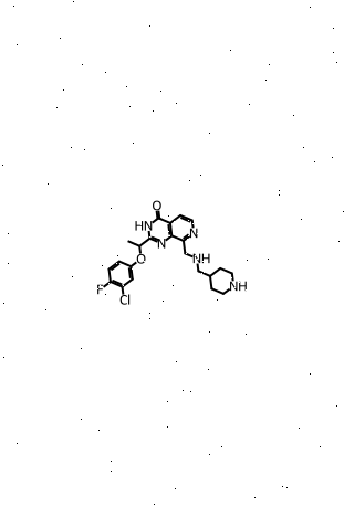 CC(Oc1ccc(F)c(Cl)c1)c1nc2c(CNCC3CCNCC3)nccc2c(=O)[nH]1